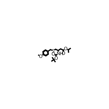 COc1ccc(CSCC(CC(=O)OC(C)C)NC(=O)OC(C)(C)C)cc1